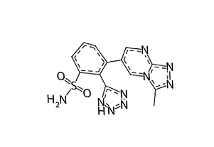 Cc1nnc2ncc(-c3cccc(S(N)(=O)=O)c3-c3nnn[nH]3)cn12